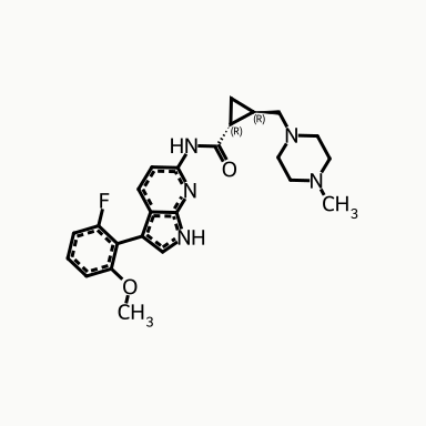 COc1cccc(F)c1-c1c[nH]c2nc(NC(=O)[C@@H]3C[C@H]3CN3CCN(C)CC3)ccc12